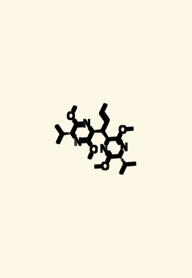 CC=CC([C@@H]1N=C(OC)[C@@H](C(C)C)N=C1OC)[C@@H]1N=C(OC)[C@@H](C(C)C)N=C1OC